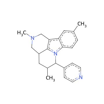 Cc1ccc2c(c1)c1c3n2C(c2ccncc2)C(C)CC3CN(C)C1